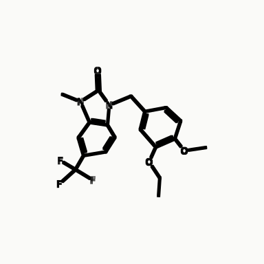 CCOc1cc(Cn2c(=O)n(C)c3cc(C(F)(F)F)ccc32)ccc1OC